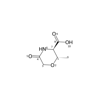 C[C@@H]1OCC(=O)N[C@H]1C(=O)O